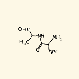 CC(C=O)NC(=O)[C@@H](N)C(C)C